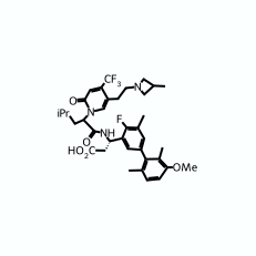 COc1ccc(C)c(-c2cc(C)c(F)c([C@H](CC(=O)O)NC(=O)C(CC(C)C)n3cc(CCN4CC(C)C4)c(C(F)(F)F)cc3=O)c2)c1C